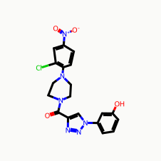 O=C(c1cn(-c2cccc(O)c2)nn1)N1CCN(c2ccc([N+](=O)[O-])cc2Cl)CC1